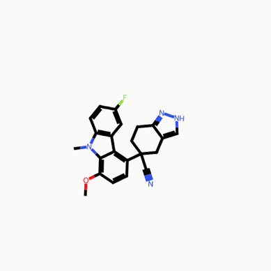 COc1ccc(C2(C#N)CCc3n[nH]cc3C2)c2c3cc(F)ccc3n(C)c12